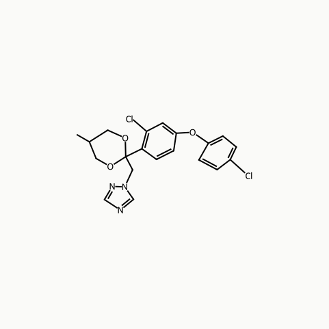 CC1COC(Cn2cncn2)(c2ccc(Oc3ccc(Cl)cc3)cc2Cl)OC1